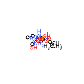 CC(C)(C)c1ccc(S(=O)(=O)NC(Cc2ccccc2)P(=O)(O)CC(=O)N[C@@H](Cc2ccc(-c3ccccc3)cc2)C(=O)N[C@@H](Cc2ccc(O)cc2)C(N)=O)cc1